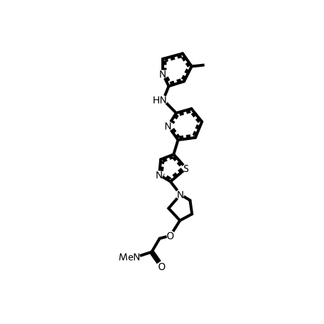 CNC(=O)COC1CCN(c2ncc(-c3cccc(Nc4cc(C)ccn4)n3)s2)C1